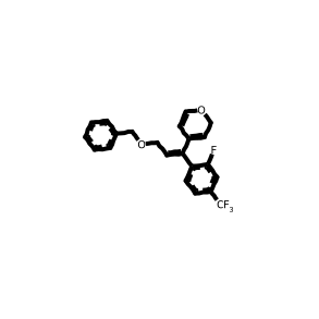 Fc1cc(C(F)(F)F)ccc1C(=CCOCc1ccccc1)C1=CCOC=C1